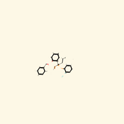 CCCC(CC)(Pc1ccccc1F)c1cc(C)ccc1OCc1ccccc1